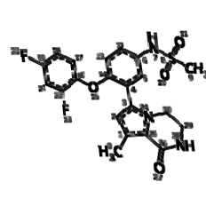 Cc1cc(-c2cc(NS(C)(=O)=O)ccc2Oc2ccc(F)cc2F)n2c1C(=O)NCC2